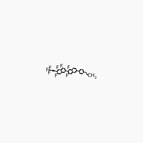 C=CCc1ccc(-c2ccc3c(F)c(-c4cc(F)c5c(F)c(C#CC(F)(F)F)c(F)cc5c4)c(F)cc3c2)cc1